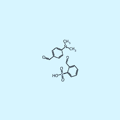 CN(C)c1ccc(C=O)cc1.O=Cc1ccccc1S(=O)(=O)O